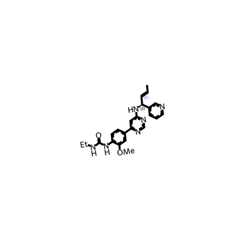 C/C=C/[C@H](Nc1cc(-c2ccc(NC(=O)NCC)c(OC)c2)ncn1)c1cccnc1